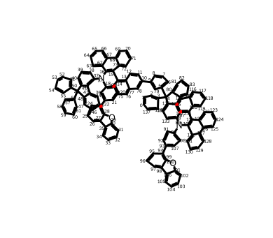 c1ccc(C2(c3cccc(-c4ccc5c(-c6c(N(c7cccc(-c8cccc9c8oc8ccccc89)c7)c7cccc8c7-c7ccccc7C8(c7ccccc7)c7ccccc7)c7ccccc7c7ccccc67)cccc5c4)c3)c3ccccc3-c3cc(N(c4ccc(-c5cccc6c5oc5ccccc56)cc4)c4c(-c5cccc6ccccc56)c5ccccc5c5ccccc45)ccc32)cc1